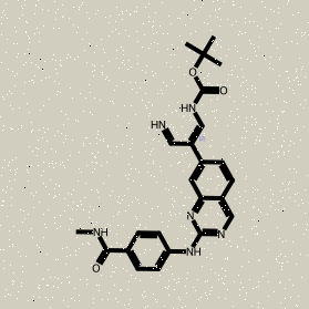 CNC(=O)c1ccc(Nc2ncc3ccc(/C(C=N)=C/NC(=O)OC(C)(C)C)cc3n2)cc1